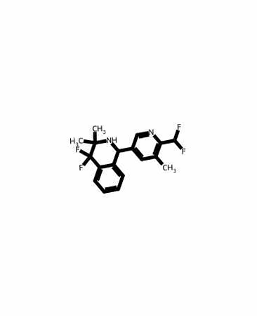 Cc1cc(C2NC(C)(C)C(F)(F)c3ccccc32)cnc1C(F)F